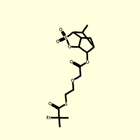 CCC(C)(C)C(=O)SCCOCC(=O)OC1C2CC3C1OS(=O)(=O)C3C2C